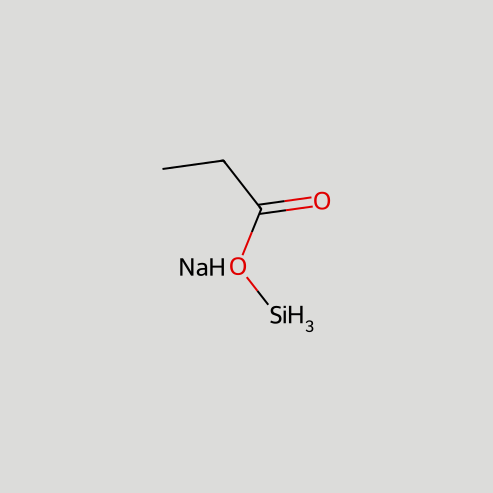 CCC(=O)O[SiH3].[NaH]